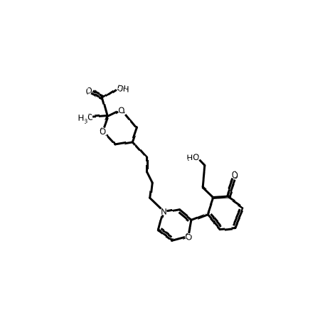 CC1(C(=O)O)OCC(CCCCN2C=COC(C3=CC=CC(=O)C3CCO)=C2)CO1